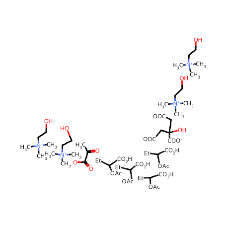 CC(=O)C(=O)[O-].CCC(OC(C)=O)C(=O)O.CCC(OC(C)=O)C(=O)O.CCC(OC(C)=O)C(=O)O.CCC(OC(C)=O)C(=O)O.C[N+](C)(C)CCO.C[N+](C)(C)CCO.C[N+](C)(C)CCO.C[N+](C)(C)CCO.O=C([O-])CC(O)(CC(=O)[O-])C(=O)[O-]